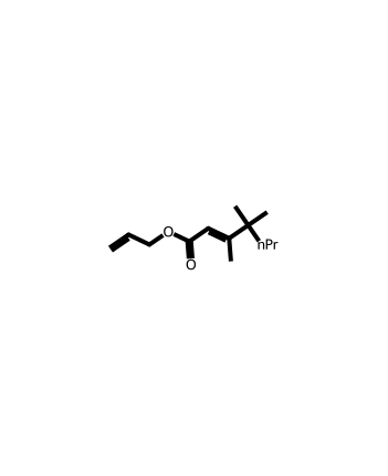 C=CCOC(=O)/C=C(\C)C(C)(C)CCC